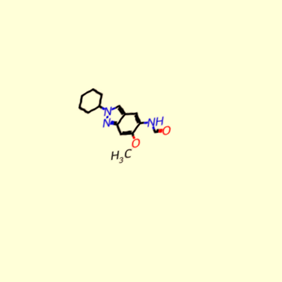 COc1cc2nn(C3CCCCC3)cc2cc1NC=O